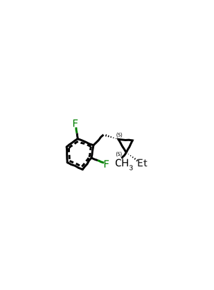 CC[C@@]1(C)C[C@H]1Cc1c(F)cccc1F